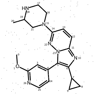 COc1cc(-c2c(C3CC3)nc3ccc(N4CCNC(C)C4)nn23)ccn1